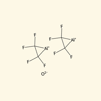 F[C]1(F)[Al+][C]1(F)F.F[C]1(F)[Al+][C]1(F)F.[O-2]